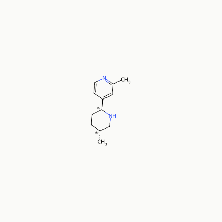 Cc1cc([C@@H]2CC[C@@H](C)CN2)ccn1